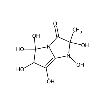 CC1(O)C(=O)N2C(=C(O)C(O)C2(O)O)N1O